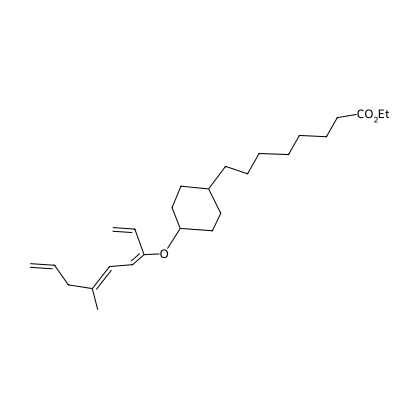 C=CC/C(C)=C/C=C(\C=C)OC1CCC(CCCCCCCC(=O)OCC)CC1